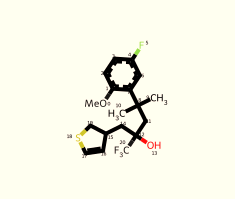 COc1ccc(F)cc1C(C)(C)CC(O)(CC1C=CSC1)C(F)(F)F